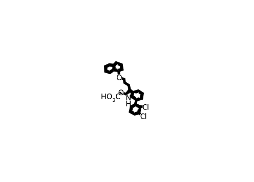 O=C(O)Oc1[nH]c2c(-c3cccc(Cl)c3Cl)cccc2c1CCCOc1cccc2ccccc12